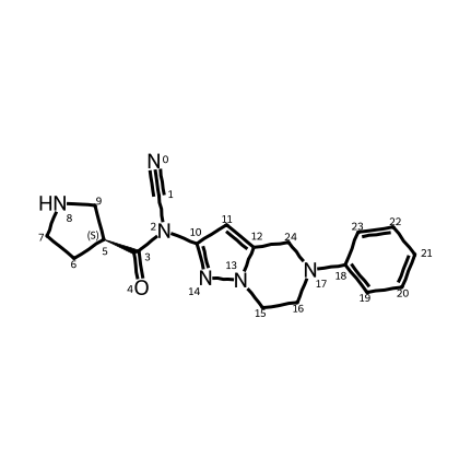 N#CN(C(=O)[C@H]1CCNC1)c1cc2n(n1)CCN(c1ccccc1)C2